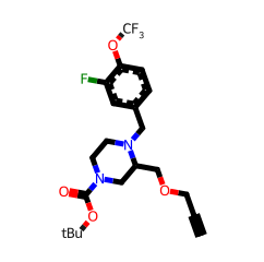 C#CCOCC1CN(C(=O)OC(C)(C)C)CCN1Cc1ccc(OC(F)(F)F)c(F)c1